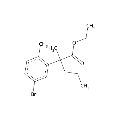 CCCC(C)(C(=O)OCC)c1cc(Br)ccc1C